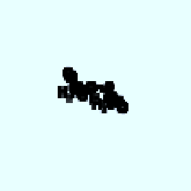 CN(Cc1cc2ccccc2n1C)C(=O)C=Cc1ccc(C(CC(=O)N2CCOCC2)C(N)=O)nc1